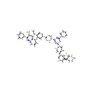 c1ccc(-c2nc(-c3ccc(-c4ccc(-c5cccc6c(-c7ccccc7)nc7ccccc7c56)cc4)cc3)nc(-c3ccc(-c4cccc5c4sc4ccccc45)cc3)n2)cc1